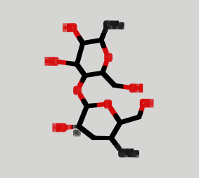 COC1C[C@H](O)C(OC2C(CO)OC(OC)C(O)C2O)OC1CO